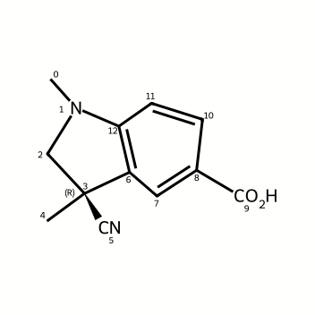 CN1C[C@](C)(C#N)c2cc(C(=O)O)ccc21